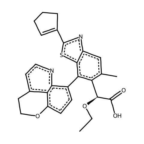 CCO[C@H](C(=O)O)c1c(C)cc2nc(C3=CCCC3)sc2c1-c1ccc2c3c(ccnc13)CCO2